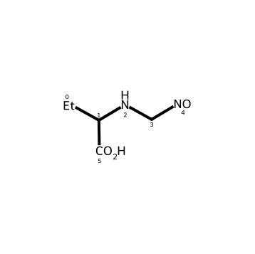 CCC(NCN=O)C(=O)O